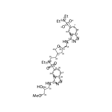 CCN(CC)S(=O)(=O)c1ccc2nnc(NC[C@H]3CC(CCN(CC)S(=O)(=O)c4ccc5nnc(NCC(O)COC)n5c4)CO3)n2c1